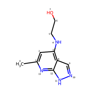 Cc1cc(NCCO)c2cn[nH]c2n1